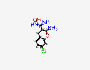 N=C(NO)C(Cc1ccc(Cl)cc1)C(N)=O